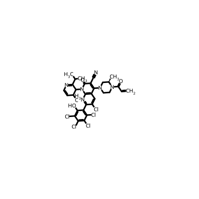 C=CC(=O)N1CCN(c2c(C#N)c(=O)n(C3C(C(C)C)=NC=CC3C)c3nc(-c4c(O)c(Cl)c(Cl)c(Cl)c4Cl)c(Cl)cc23)C[C@H]1C